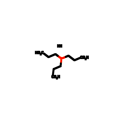 O=C(O)CCP(CCC(=O)O)CCC(=O)O.[HH]